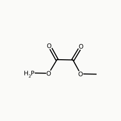 COC(=O)C(=O)OP